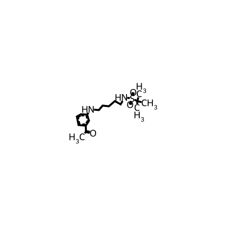 CC(=O)c1cccc(NCCCCCNS(=O)(=O)C(C)(C)C)c1